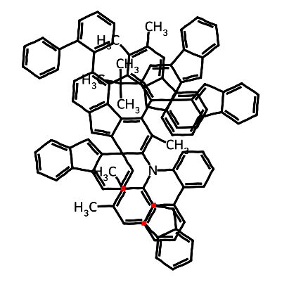 CC1=C(N(c2ccccc2-c2ccccc2)c2c(C)c(C)cc3c2Cc2ccccc2-3)C2(C=CC=C3C2=Cc2ccccc23)C2=Cc3ccc(-c4ccccc4-c4ccccc4)c(-c4c(C)c(C)cc5c4Cc4ccccc4-5)c3C2=C1C1=C(C(C)(C)C)C=C2C(=Cc3ccccc32)C12C=CC=C1C2=Cc2ccccc21